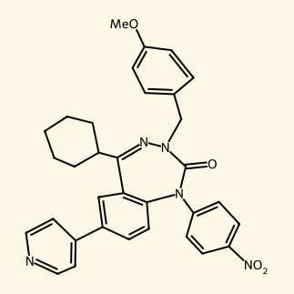 COc1ccc(CN2N=C(C3CCCCC3)c3cc(-c4ccncc4)ccc3N(c3ccc([N+](=O)[O-])cc3)C2=O)cc1